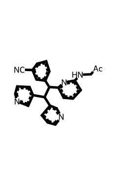 CC(=O)CNc1cccc(C(c2cccc(C#N)c2)C(c2cccnc2)c2cccnc2)n1